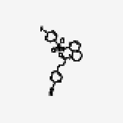 N#Cc1ccc(CCC(=O)N2CCCc3cccc(NS(=O)(=O)c4ccc(F)cc4)c32)cc1